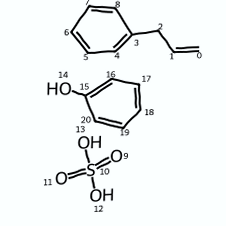 C=CCc1ccccc1.O=S(=O)(O)O.Oc1ccccc1